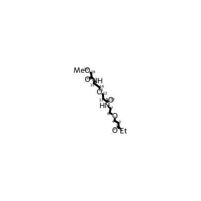 CCC(=O)CCOCCNC(=O)CCOCCNC(=O)COC